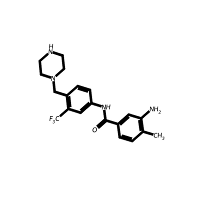 Cc1ccc(C(=O)Nc2ccc(CN3CCNCC3)c(C(F)(F)F)c2)cc1N